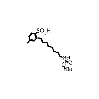 Cc1ccc(S(=O)(=O)O)c(CCCCCCCCNC(=O)OC(C)(C)C)c1